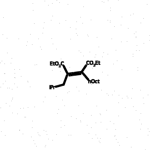 CCCCCCCC/C(C(=O)OCC)=C(\CC(C)C)C(=O)OCC